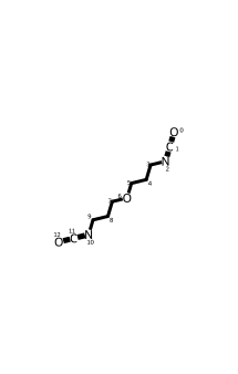 O=C=NCC[CH]OCCCN=C=O